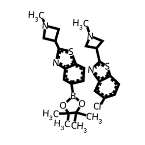 CN1CC(c2nc3cc(B4OC(C)(C)C(C)(C)O4)ccc3s2)C1.CN1CC(c2nc3cc(Cl)ccc3s2)C1